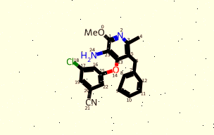 COc1nc(C)c(Cc2ccccc2)c(Oc2cc(Cl)cc(C#N)c2)c1N